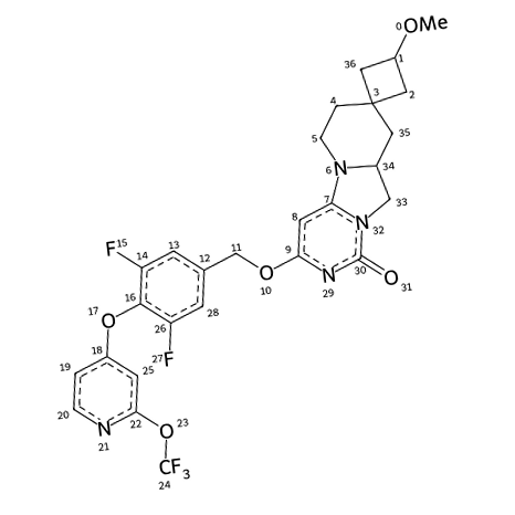 COC1CC2(CCN3c4cc(OCc5cc(F)c(Oc6ccnc(OC(F)(F)F)c6)c(F)c5)nc(=O)n4CC3C2)C1